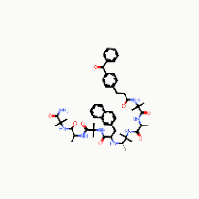 CC(NC(=O)C(C)(C)NC(=O)CCc1ccc(C(=O)c2ccccc2)cc1)C(=O)NC(C)(C)[C@H](C)NC(Cc1ccc2ccccc2c1)C(=O)NC(C)(C)C(=O)NC(C)C(=O)NC(C)(C)C(N)=O